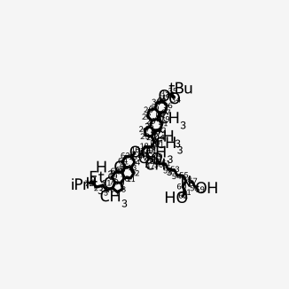 CCC(CCC(C)C1CCC2C3CC=C4CC(OC(CC[C@H](C)C5CCC6C7CCC8C[C@@H](OC(=O)C(C)(C)C)CC[C@@]8(C)C7CC[C@]65C)O[Si](C)(C)OCCCCCCN(CCO)CCO)CCC4(C)C3CCC12C)C(C)C